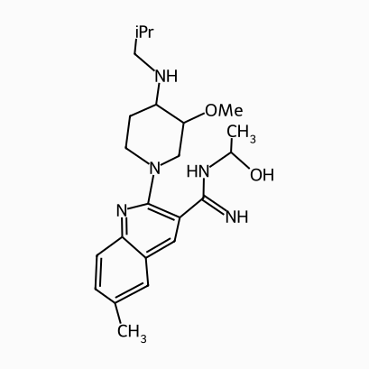 COC1CN(c2nc3ccc(C)cc3cc2C(=N)NC(C)O)CCC1NCC(C)C